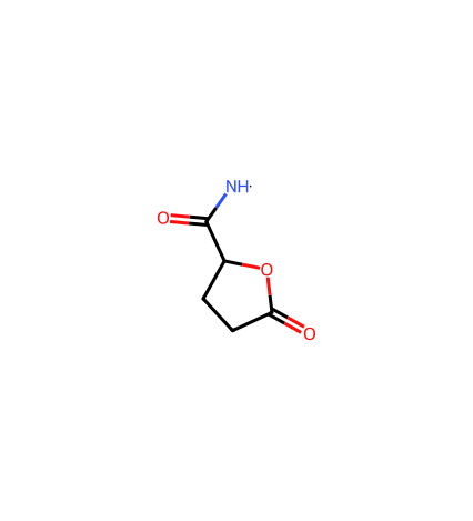 [NH]C(=O)C1CCC(=O)O1